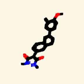 CNC(=O)C(C(=O)NC)c1ccc2cc(-c3ccc(OC)c(C)c3)ccc2c1